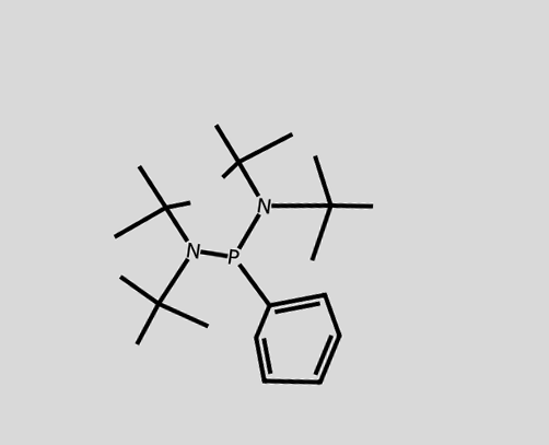 CC(C)(C)N(P(c1ccccc1)N(C(C)(C)C)C(C)(C)C)C(C)(C)C